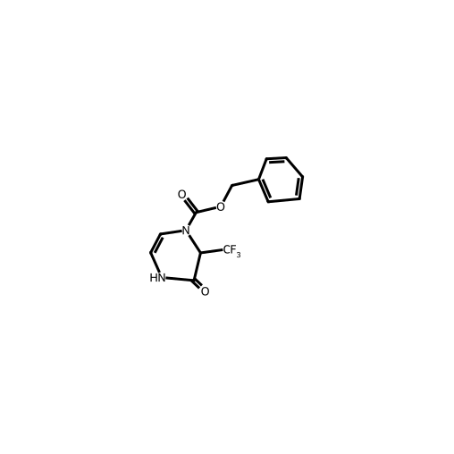 O=C1NC=CN(C(=O)OCc2ccccc2)C1C(F)(F)F